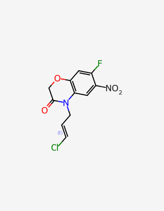 O=C1COc2cc(F)c([N+](=O)[O-])cc2N1C/C=C/Cl